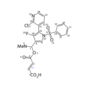 CNC(OC(=O)/C=C/C(=O)O)c1cn(S(=O)(=O)c2ccccc2)c(-c2cccnc2Cl)c1F